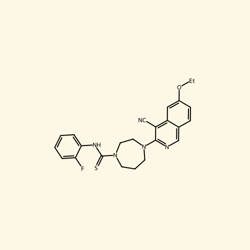 CCOc1ccc2cnc(N3CCCN(C(=S)Nc4ccccc4F)CC3)c(C#N)c2c1